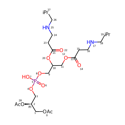 CC(=O)OC[C@H](COP(=O)(O)OCC(COC(=O)CCNCC(C)C)OC(=O)CCNCC(C)C)OC(C)=O